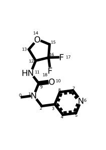 CN(Cc1ccncc1)C(=O)NC1COCC1(F)F